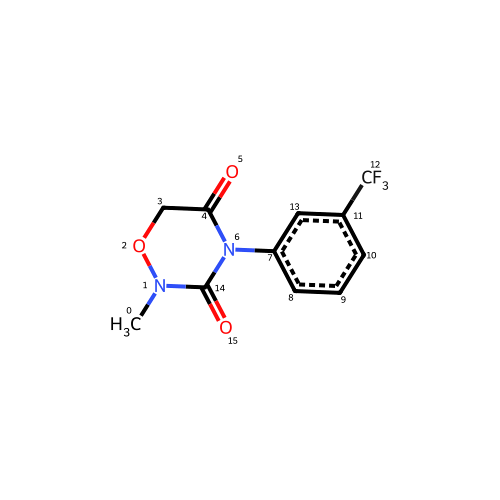 CN1OCC(=O)N(c2cccc(C(F)(F)F)c2)C1=O